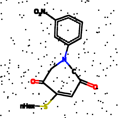 CCCCCCSC1=CC(=O)CN(c2cccc([N+](=O)[O-])c2)CC1=O